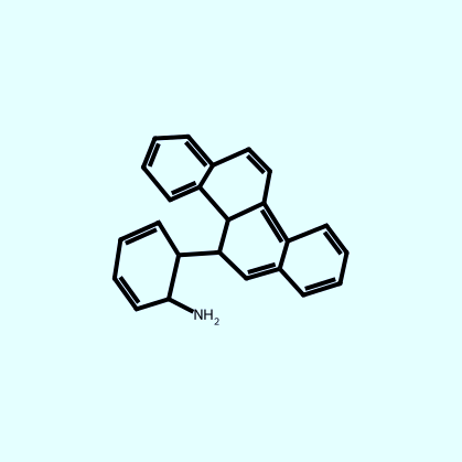 NC1C=CC=CC1C1C=c2ccccc2=C2C=Cc3ccccc3C21